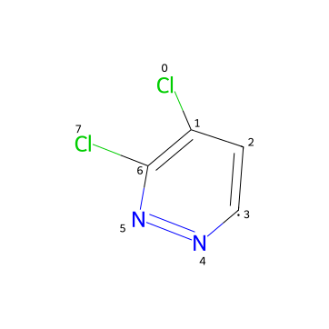 Clc1c[c]nnc1Cl